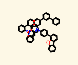 c1ccc(-c2cccc(-c3cccc(N(c4ccc(-c5cccc6c5oc5ccccc56)cc4)c4ccccc4-c4ccccc4-c4ccccc4N4c5ccccc5C5CCCCC54)c3)c2)cc1